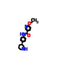 CCOc1ccc(C(=O)Nc2ccc([C@@H]3CCCNC3)cc2)cn1